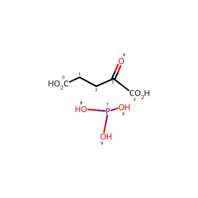 O=C(O)CCC(=O)C(=O)O.OP(O)O